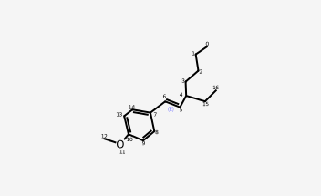 CCCCC(/C=C/c1ccc(OC)cc1)CC